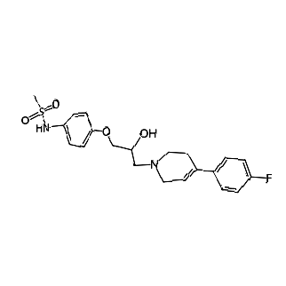 CS(=O)(=O)Nc1ccc(OCC(O)CN2CC=C(c3ccc(F)cc3)CC2)cc1